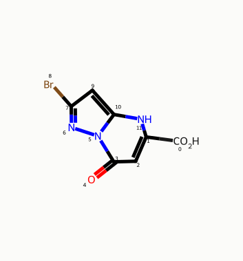 O=C(O)c1cc(=O)n2nc(Br)cc2[nH]1